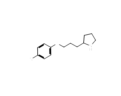 Nc1ccc(OCCCC2CCCN2)cc1